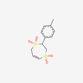 Cc1ccc(C2CS(=O)(=O)C=CCS2(=O)=O)cc1